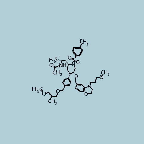 COCCCN1CCOc2ccc(CO[C@H]3CN(S(=O)(=O)c4ccc(C)cc4)[C@H](C[C@@H](C)NC(C)=O)C[C@@H]3c3ccc(COCC(C)COC)cc3)cc21